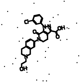 O=C(O)c1nn(-c2cccc(Cl)c2)c2c1CCN(c1ccc3c(c1)CN(CCO)CC3)C2=O